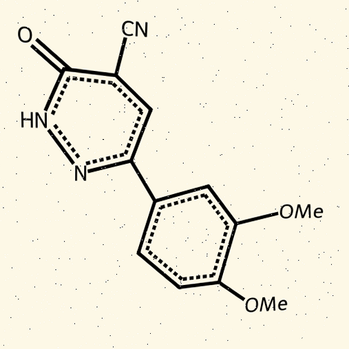 COc1ccc(-c2cc(C#N)c(=O)[nH]n2)cc1OC